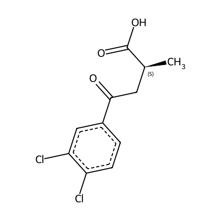 C[C@@H](CC(=O)c1ccc(Cl)c(Cl)c1)C(=O)O